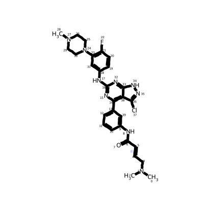 CN(C)C/C=C/C(=O)Nc1cccc(-c2nc(Nc3ccc(F)c(N4CCN(C)CC4)c3)nc3[nH]nc(Cl)c23)c1